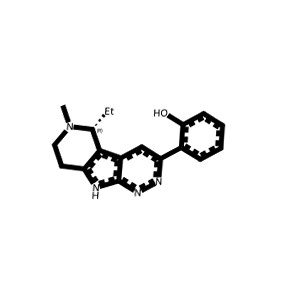 CC[C@@H]1c2c([nH]c3nnc(-c4ccccc4O)cc23)CCN1C